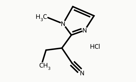 CCC(C#N)c1nccn1C.Cl